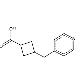 O=C(O)C1CC(Cc2ccncc2)C1